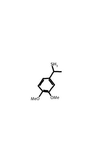 COc1ccc(C(C)[SiH3])cc1OC